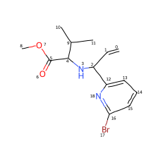 C=CC(NC(C(=O)OC)C(C)C)c1cccc(Br)n1